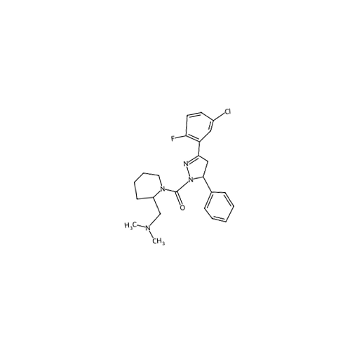 CN(C)CC1CCCCN1C(=O)N1N=C(c2cc(Cl)ccc2F)CC1c1ccccc1